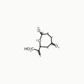 C=C(C(=O)O)C1CC(=O)CCC(=O)O1